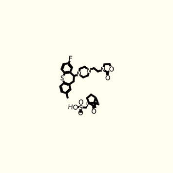 CC1(C)C2CC[C@@]1(CS(=O)(=O)O)C(=O)C2.Cc1ccc2c(c1)CC(N1CCN(CCN3CCOC3=O)CC1)c1cc(F)ccc1S2